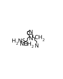 C=C(CCc1nc(C(=C)CCC#N)cc2ncccc12)SC(=N)N